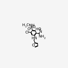 CNS(=O)(=O)c1cc(/C(N)=N\O)c(NCc2ccco2)cc1Cl